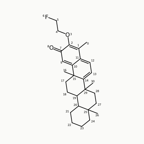 CC1=C(OCCF)C(=O)C=C2C1=CC=C1C2(C)CCC2C3CCCCC3(C)CCC12C